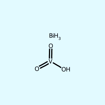 [BiH3].[O]=[V](=[O])[OH]